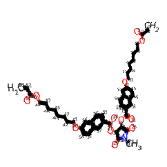 C=CC(=O)OCCCCCCCCOc1ccc2cc(C(=O)O[C@H]3C(=O)N(C)C(=O)[C@@H]3OC(=O)c3ccc4cc(OCCCCCCCCOC(=O)C=C)ccc4c3)ccc2c1